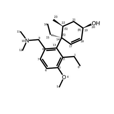 CCc1c(OC)ccc(CN(C)C)c1[C@]1(CC)C=C[C@H](O)C[C@@H]1C